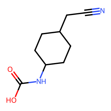 N#CCC1CCC(NC(=O)O)CC1